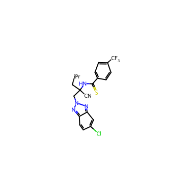 CC(C)CC(C#N)(Cn1nc2ccc(Cl)cc2n1)NC(=S)c1ccc(C(F)(F)F)cc1